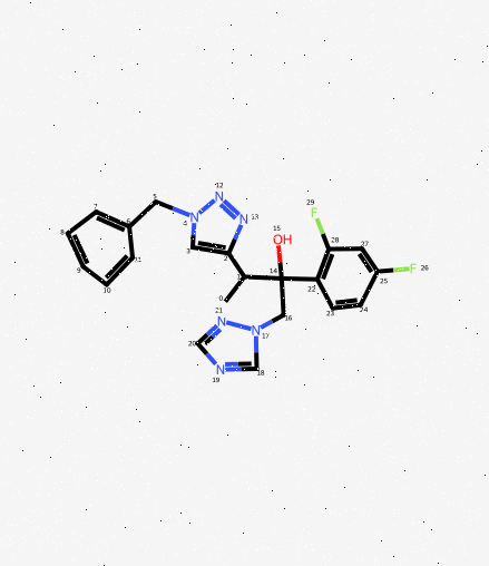 CC(c1cn(Cc2ccccc2)nn1)C(O)(Cn1cncn1)c1ccc(F)cc1F